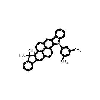 Cc1cc(C)cc(-n2c3ccccc3c3cc4ccc5c6c(cc7ccc(c4c75)c32)-c2ccccc2C6(C)C)c1